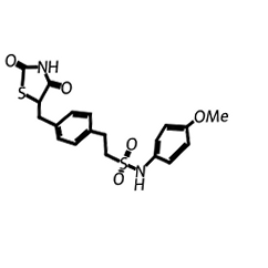 COc1ccc(NS(=O)(=O)CCc2ccc(CC3SC(=O)NC3=O)cc2)cc1